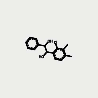 Cc1ccc(C(O)C(O)c2ccccc2)c(Cl)c1C